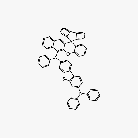 c1ccc(N(c2ccccc2)c2ccc3c(c2)sc2cc(N(c4ccccc4)c4c5c(cc6ccccc46)C4(c6ccccc6O5)c5ccccc5-c5ccccc54)ccc23)cc1